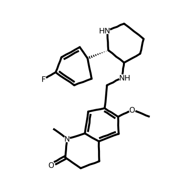 COc1cc2c(cc1CNC1CCCN[C@H]1C1C=CC(F)=CC1)N(C)C(=O)CC2